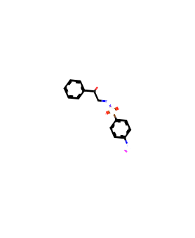 O=Nc1ccc(S(=O)(=O)NCC(O)c2ccccc2)cc1